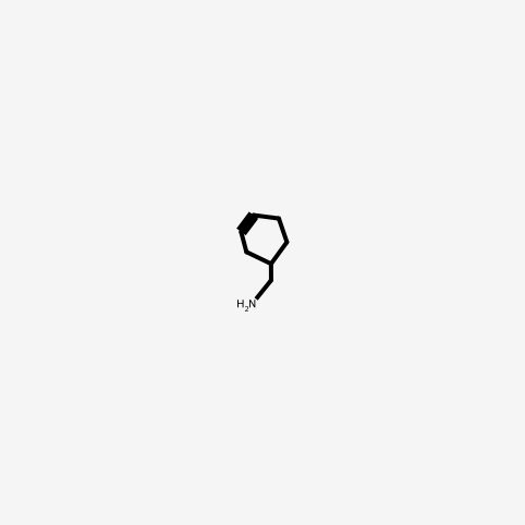 NCC1CC#CCC1